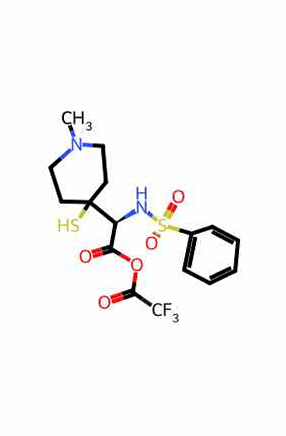 CN1CCC(S)([C@@H](NS(=O)(=O)c2ccccc2)C(=O)OC(=O)C(F)(F)F)CC1